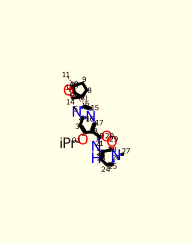 CC(C)Oc1cc2nc([C@@]34CC[C@@](C)(C3)OC4)cn2cc1C(=O)Nc1cccn(C)c1=O